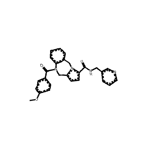 COc1ccc(C(=O)N2Cc3ccc(C(=O)NCc4cccnc4)n3Cc3ccccc32)cc1